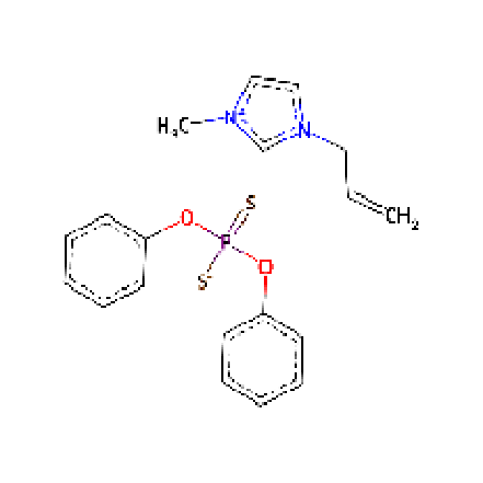 C=CCn1cc[n+](C)c1.S=P([S-])(Oc1ccccc1)Oc1ccccc1